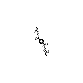 CCC(=S)OCOC(=O)c1ccc(C(=O)OCOC(=S)CC)cc1